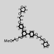 COCCOCOc1cc(-c2ccc(OCCCOC3CCCOC3)cc2)cc(-c2ccc(OCCCOC3CCCOC3)cc2)c1